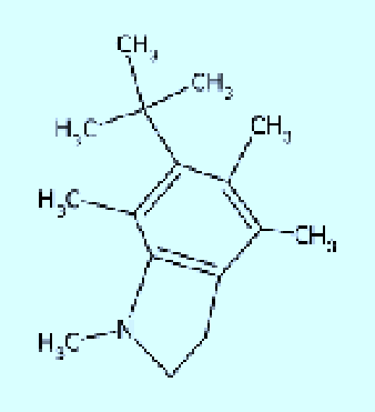 Cc1c(C)c(C(C)(C)C)c(C)c2c1CCN2C